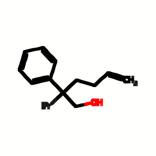 C=CCCC(CO)(c1ccccc1)C(C)C